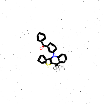 CC1(C)c2ccccc2N(c2cccc(C(=O)c3ccccc3)c2)c2c1sc1ccccc21